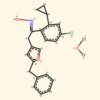 CCOCC.O/N=C(\Cc1coc(Cc2ccccc2)c1)c1ccc(Cl)cc1C1CC1